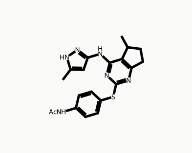 CC(=O)Nc1ccc(Sc2nc3c(c(Nc4cc(C)[nH]n4)n2)C(C)CC3)cc1